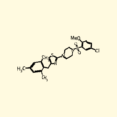 COc1ccc(Cl)cc1S(=O)(=O)N1CCN(c2nc(Cc3c(C)cc(C)cc3C)cs2)CC1